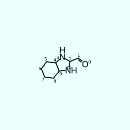 O=CC1NC2CCCCC2N1